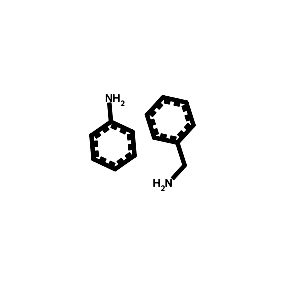 NCc1ccccc1.Nc1ccccc1